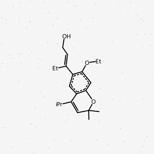 CCOc1cc2c(cc1C(=CCO)CC)C(C(C)C)=CC(C)(C)O2